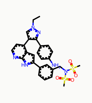 CCn1cc(-c2ccnc3[nH]c(-c4cccc(CN(S(C)(=O)=O)S(C)(=O)=O)c4)cc23)c(-c2ccc(N)cc2)n1